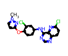 Cn1ccc(Oc2ccc(Nc3ncnc4ccc(Cl)nc34)cc2Cl)n1